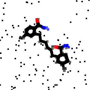 CC(=O)c1ccc(C(N)=O)c(CCCCCCc2cc(C(C)=O)ccc2C(N)=O)c1